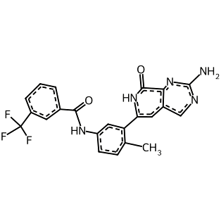 Cc1ccc(NC(=O)c2cccc(C(F)(F)F)c2)cc1-c1cc2cnc(N)nc2c(=O)[nH]1